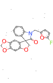 O=C1N(Cc2ccc(F)o2)c2ccccc2C12COc1cc3c(cc12)OCO3